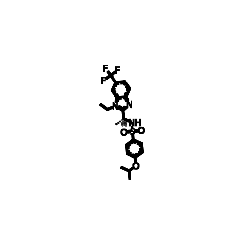 CCn1c([C@@H](C)NS(=O)(=O)c2ccc(OC(C)C)cc2)nc2ccc(C(F)(F)F)cc21